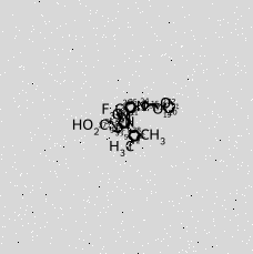 Cc1cc(C)cc(-c2nn(-c3cc(N4CC(COC5CCCCO5)C4)ccc3C(F)(F)F)c(=O)c3c2CCN3CC(=O)O)c1